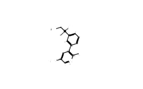 CCC(C)(CC(C)C)c1cccc(-c2cc(N)cnc2C)c1